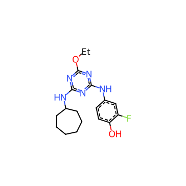 CCOc1nc(Nc2ccc(O)c(F)c2)nc(NC2CCCCCC2)n1